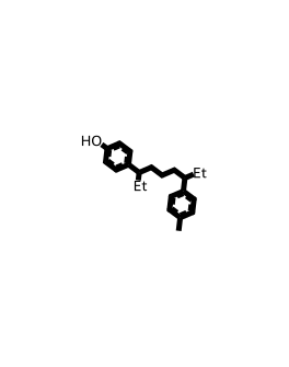 CCC(CCCC(CC)c1ccc(O)cc1)c1ccc(C)cc1